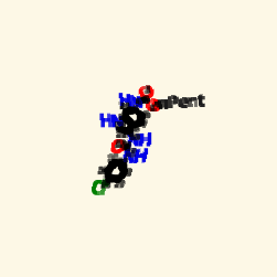 CCCCCOC(=O)Nc1ccc2c(NC(=O)Nc3ccc(Cl)cc3)c[nH]c2c1